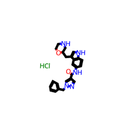 Cl.O=C(Nc1ccc2[nH]cc(CC3CNCCO3)c2c1)c1cnn(Cc2ccccc2)c1